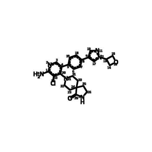 Nc1ncc(-c2ccc(-c3cnn(C4COC4)c3)cc2)c(N2CCC3(CCNC3=O)CC2)c1Cl